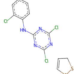 C1=CSSC1.Clc1nc(Cl)nc(Nc2ccccc2Cl)n1